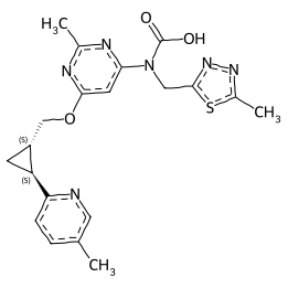 Cc1ccc([C@H]2C[C@@H]2COc2cc(N(Cc3nnc(C)s3)C(=O)O)nc(C)n2)nc1